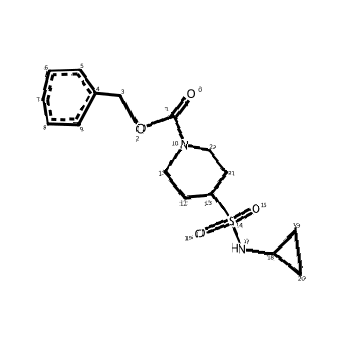 O=C(OCc1ccccc1)N1CCC(S(=O)(=O)NC2CC2)CC1